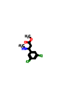 CNC(CC(=O)OC)c1cc(Cl)cc(Cl)c1